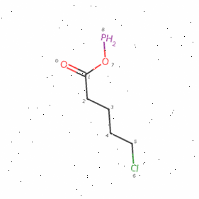 O=C(CCCCCl)OP